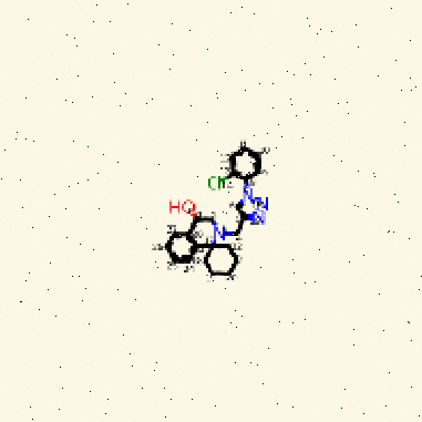 OC1CN(Cc2cn(-c3ccccc3Cl)nn2)C2(CCCCC2)c2ccccc21